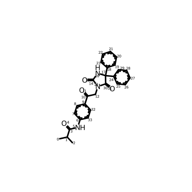 CC(C)C(=O)Nc1ccc(C(=O)CN2C(=O)NC(c3ccccc3)(c3ccccc3)C2=O)cc1